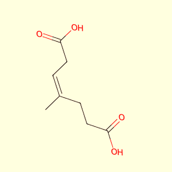 C/C(=C/CC(=O)O)CCC(=O)O